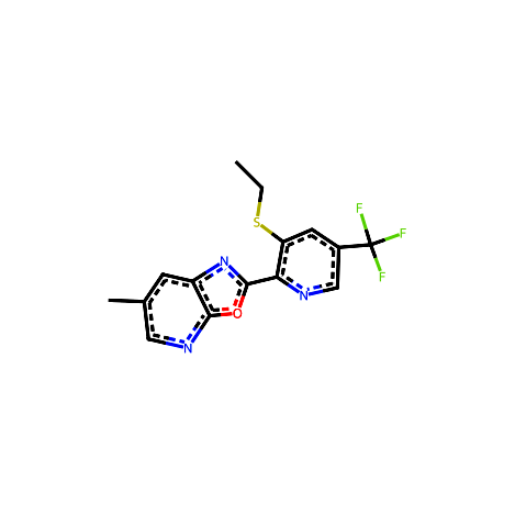 CCSc1cc(C(F)(F)F)cnc1-c1nc2cc(C)cnc2o1